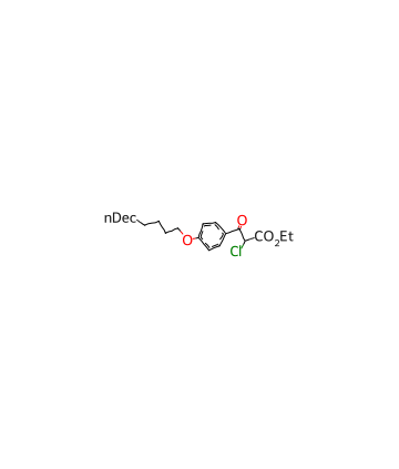 CCCCCCCCCCCCCCOc1ccc(C(=O)C(Cl)C(=O)OCC)cc1